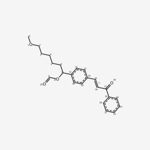 COCCCCCC(OC=O)c1ccc(/C=C/C(=O)c2ccccc2)cc1